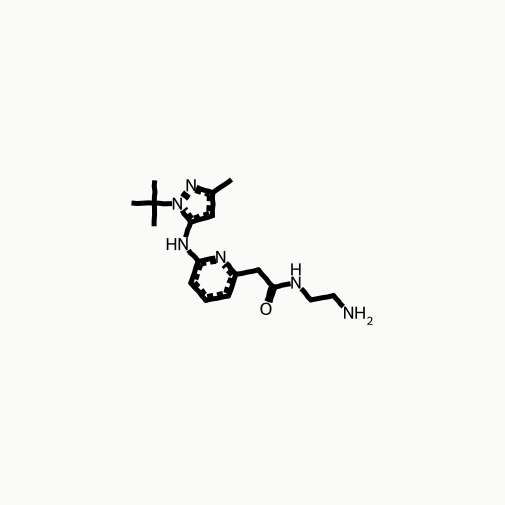 Cc1cc(Nc2cccc(CC(=O)NCCN)n2)n(C(C)(C)C)n1